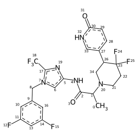 CC(C(=O)Nc1cn(Cc2cc(F)cc(F)c2)c(C(F)(F)F)n1)N1CCC(F)(F)C(c2ccc(=O)[nH]c2)C1